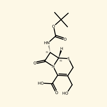 CC(C)(C)OC(=O)N[C@H]1C(=O)N2C(C(=O)O)=C(CO)CS[C@@H]12